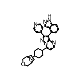 c1cc(-c2c(-c3ccncc3)nn3c(C4CCC(N5C6CCC5COC6)CC4)ccnc23)c2cn[nH]c2c1